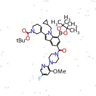 COc1cc(F)cnc1N1CCN(C(=O)c2cc(B3OC(C)(C)C(C)(C)O3)c3c(c2)cc(C2=CCCN(C(=O)OC(C)(C)C)C2)n3CC2CC2)CC1